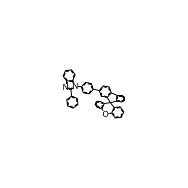 c1ccc(-c2nc3ccccc3n2-c2ccc(-c3ccc4c(c3)C3(c5ccccc5Oc5ccccc53)c3ccccc3-4)cc2)cc1